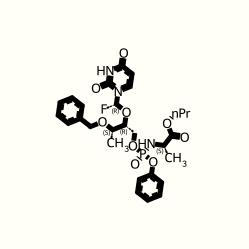 CCCOC(=O)[C@H](C)NP(=O)(OC[C@@H](O[C@H](F)n1ccc(=O)[nH]c1=O)[C@H](C)OCc1ccccc1)Oc1ccccc1